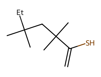 C=C(S)C(C)(C)CC(C)(C)CC